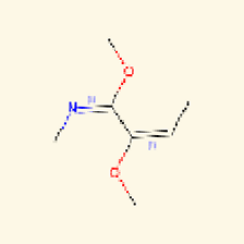 C/C=C(OC)\C(=N/C)OC